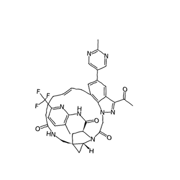 CC(=O)c1nn2c3c(cc(-c4cnc(C)nc4)cc13)C/C=C/CCCC(=O)NC[C@@]13C[C@@H](C(=O)Nc4nc(C(F)(F)F)ccc4C)N(C(=O)C2)[C@@H]1C3